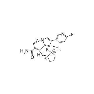 C[C@]1(F)CCC[C@H]1Nc1c(C(N)=O)cnn2cc(-c3ccc(F)nc3)cc12